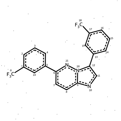 FC(F)(F)c1cccc(-c2ccc3ncc(-c4cccc(C(F)(F)F)c4)n3n2)c1